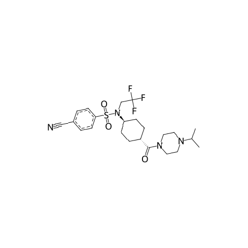 CC(C)N1CCN(C(=O)[C@H]2CC[C@H](N(CC(F)(F)F)S(=O)(=O)c3ccc(C#N)cc3)CC2)CC1